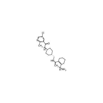 C=C(NC[C@H]1CC[C@H](NC(=O)c2cc(Cl)cnc2C)CC1)C1=C(NN)CCCC1